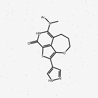 CC(=O)N(C)c1[nH]c(=O)c2sc(-c3cn[nH]c3)c3c2c1CCCO3